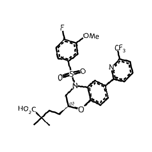 COc1cc(S(=O)(=O)N2C[C@H](CCC(C)(C)C(=O)O)Oc3ccc(-c4cccc(C(F)(F)F)n4)cc32)ccc1F